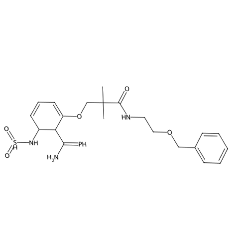 CC(C)(COC1=CC=CC(N[SH](=O)=O)C1C(N)=P)C(=O)NCCOCc1ccccc1